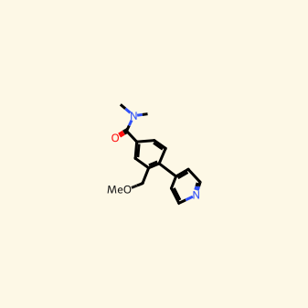 COCc1cc(C(=O)N(C)C)ccc1-c1ccncc1